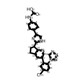 O=C(O)Nc1ccc(-c2c[nH]c(C3CCc4cc(-c5cc(Cl)ccc5-n5cnnn5)cnc43)n2)cc1